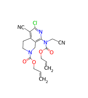 C=CCOC(=O)N1CCc2c(C#N)c(Cl)nc(N(CC#N)C(=O)OCC=C)c2C1